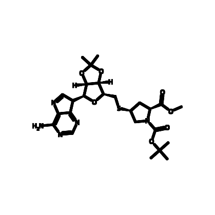 COC(=O)[C@@H]1C[C@H](SC[C@H]2O[C@@H](C3C=Nc4c(N)ncnc43)[C@@H]3OC(C)(C)O[C@@H]32)CN1C(=O)OC(C)(C)C